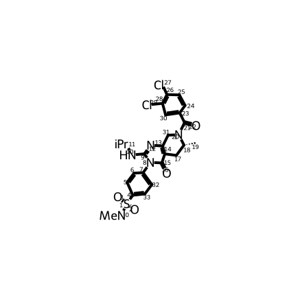 CNS(=O)(=O)c1ccc(-n2c(NC(C)C)nc3c(c2=O)C[C@@H](C)N(C(=O)c2ccc(Cl)c(Cl)c2)C3)cc1